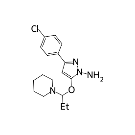 CCC(Oc1cc(-c2ccc(Cl)cc2)nn1N)N1CCCCC1